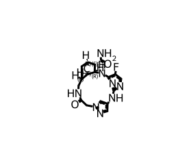 NC(=O)[C@H]1[C@@H]2C[C@H]3CNC(=O)Cn4cc(cn4)Nc4ncc(F)c(n4)N[C@@H]1[C@@H]3C2